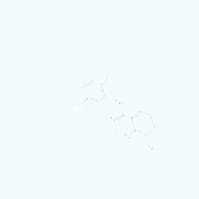 Cc1ccc(F)c(Nc2ncnc3c([N+](=O)[O-])cccc23)c1